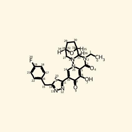 CCN1C(=O)c2c(O)c(=O)c(-c3nnc(Cc4ccc(F)cc4)s3)cn2N2C[C@@H]3CC[C@@H](O3)[C@@H]12